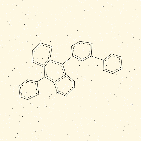 c1ccc(-c2cccc(-c3c4ccccc4c(-c4ccccc4)c4ncccc34)c2)cc1